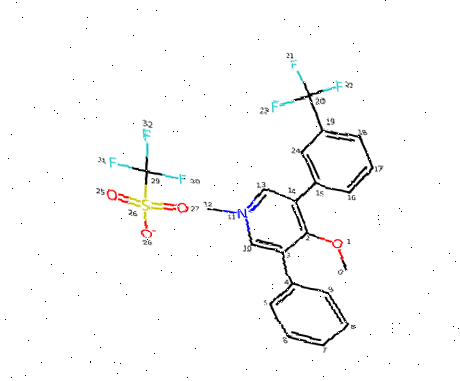 COc1c(-c2ccccc2)c[n+](C)cc1-c1cccc(C(F)(F)F)c1.O=S(=O)([O-])C(F)(F)F